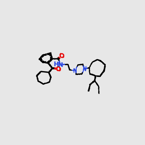 CCC(CC)C1CCCCCCC(N2CCN(CCNC(=O)c3ccccc3C(=O)C3CCCCCC3)CC2)C1